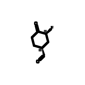 O=C[C@@H]1CCC(=O)[C@@H](F)C1